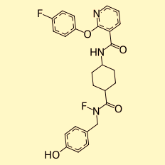 O=C(NC1CCC(C(=O)N(F)Cc2ccc(O)cc2)CC1)c1cccnc1Oc1ccc(F)cc1